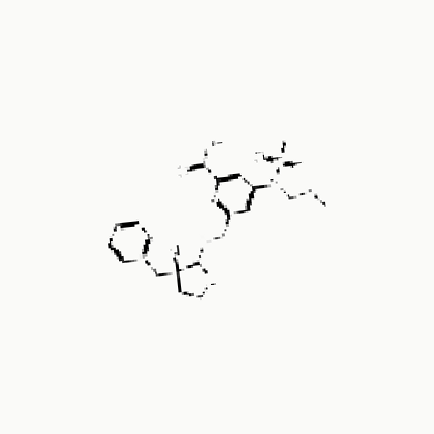 CCCN(c1cc(COC2OCCC2(N)Cc2ccccc2)cc(C(=O)O)c1)S(C)(=O)=O